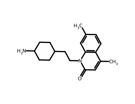 Cc1ccc2c(C)cc(=O)n(CCC3CCC(N)CC3)c2c1